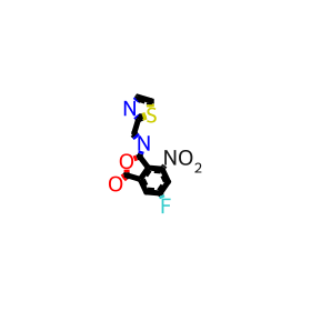 O=C1OC(N=Cc2nccs2)c2c1cc(F)cc2[N+](=O)[O-]